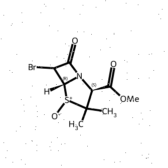 COC(=O)[C@@H]1N2C(=O)C(Br)[C@H]2[S+]([O-])C1(C)C